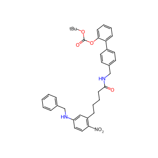 CC(C)(C)OC(=O)Oc1ccccc1-c1ccc(CNC(=O)CCCCc2cc(NCc3ccccc3)ccc2[N+](=O)[O-])cc1